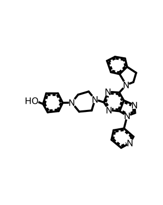 Oc1ccc(N2CCN(c3nc(N4CCc5ccccc54)c4ncn(-c5cccnc5)c4n3)CC2)cc1